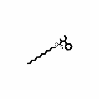 C=CC(c1ccccc1)C(C)C(=S)OCCCCCCCCCCCC